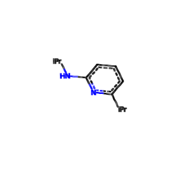 CC(C)Nc1cccc(C(C)C)n1